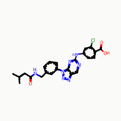 CC(C)CC(=O)NCc1cccc(-n2nnc3cnc(Nc4ccc(C(=O)O)c(Cl)c4)nc32)c1